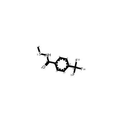 CSNC(=O)c1ccc(C(F)(F)F)cc1